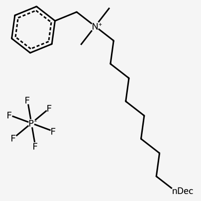 CCCCCCCCCCCCCCCCCC[N+](C)(C)Cc1ccccc1.F[P-](F)(F)(F)(F)F